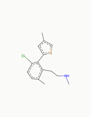 CNCCc1c(C)ccc(Cl)c1-c1cc(C)cs1